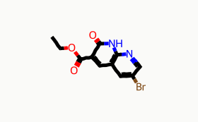 CCOC(=O)c1cc2cc(Br)cnc2[nH]c1=O